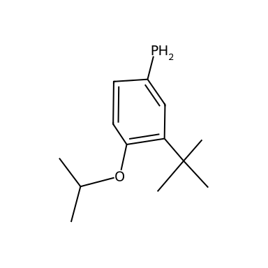 CC(C)Oc1ccc(P)cc1C(C)(C)C